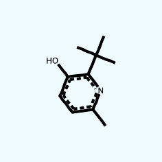 Cc1ccc(O)c(C(C)(C)C)n1